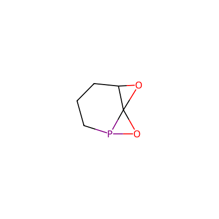 C1CC2OC23OP3C1